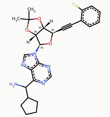 CC1(C)O[C@@H]2[C@H](O1)[C@@H](C#Cc1ccccc1F)O[C@H]2n1cnc2c(C(N)C3CCCC3)ncnc21